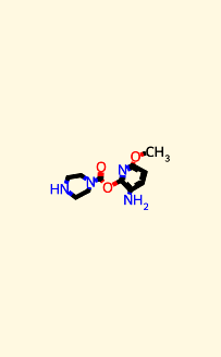 COc1ccc(N)c(OC(=O)N2CCNCC2)n1